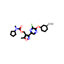 Cc1onc(-c2cnc(OC3CCC[C@H](C=O)C3)c(F)n2)c1COC(=O)N(C)C1CCCC1